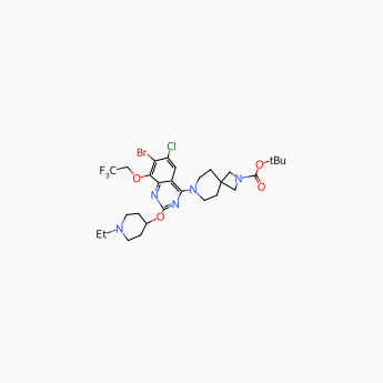 CCN1CCC(Oc2nc(N3CCC4(CC3)CN(C(=O)OC(C)(C)C)C4)c3cc(Cl)c(Br)c(OCC(F)(F)F)c3n2)CC1